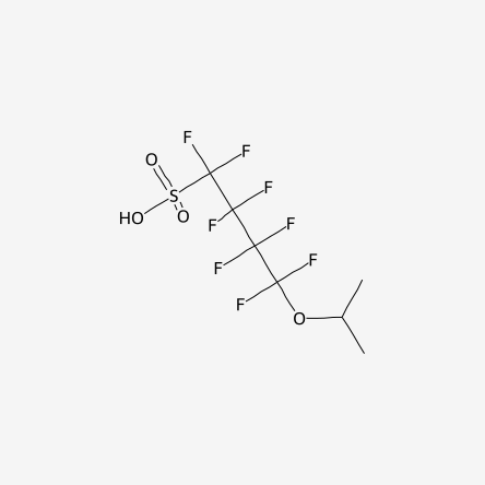 CC(C)OC(F)(F)C(F)(F)C(F)(F)C(F)(F)S(=O)(=O)O